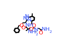 Cc1ccc(COC(=O)N(C)CC(N)=O)n2c(C(COCc3ccccc3)NC(=O)C(C)(C)N)nnc12